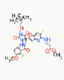 COC(=O)CCNc1nc2cc([C@]3(CN4Cc5ccc(OC)c(F)c5C4=O)NC(=O)N(COCC[Si](C)(C)C)C3=O)oc2cc1F